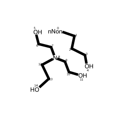 CCCCCCCCCCCCO.OCCN(CCO)CCO